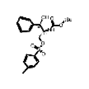 Cc1ccc(S(=O)(=O)OC[C@@H](NC(=O)OC(C)(C)C)[C@H](O)c2ccccc2)cc1